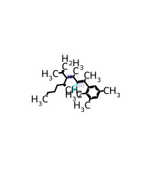 C=C(C)/C(C(=C)CCCC)=C(C)/C(F)=C(\C)c1cc(C)cc(C)c1C